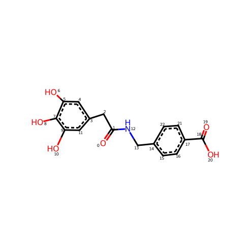 O=C(Cc1cc(O)c(O)c(O)c1)NCc1ccc(C(=O)O)cc1